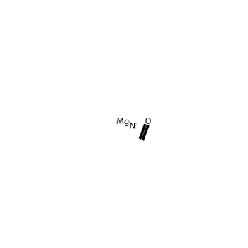 [C]=O.[Mg].[N]